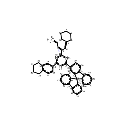 C=C/C=C(\C=C1CCCCC1)c1nc(-c2ccc3c(c2)CCCC3)nc(-c2ccc3c(c2)C2(c4ccccc4-c4ccccc42)c2ccccc2-3)n1